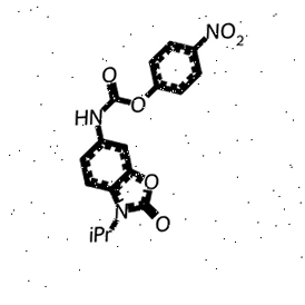 CC(C)n1c(=O)oc2cc(NC(=O)Oc3ccc([N+](=O)[O-])cc3)ccc21